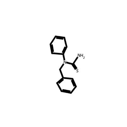 NC(=S)N(Cc1ccccc1)c1ccccc1